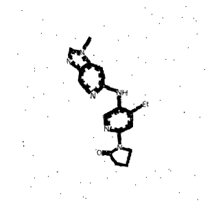 CCc1cc(N2CCCC2=O)ncc1Nc1cc2c(cn1)ncn2C